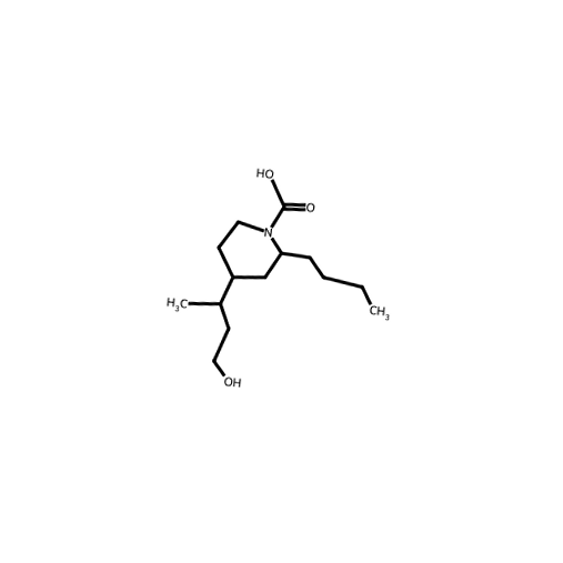 CCCCC1CC(C(C)CCO)CCN1C(=O)O